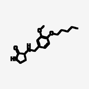 CCCCCOc1ccc(CNC2CCNC2=O)cc1OC